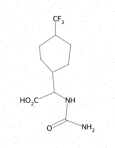 NC(=O)NC(C(=O)O)C1CCC(C(F)(F)F)CC1